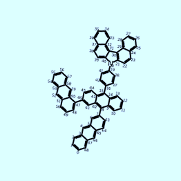 c1ccc2cc3cc(-c4c5ccccc5c(-c5ccc(-n6c7ccc8ccccc8c7c7c8ccccc8ccc76)cc5)c5ccc(-c6cccc7cc8ccccc8cc67)cc45)ccc3cc2c1